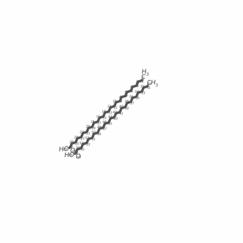 CCCCCCCCCCCCCCCCCCCCCCCCCCCC(=O)O.CCCCCCCCCCCCCCCCCCCCCCCCCCCC(=O)O